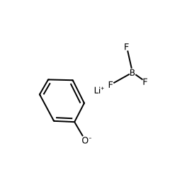 FB(F)F.[Li+].[O-]c1ccccc1